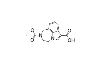 CC(C)(C)OC(=O)N1CCn2cc(C(=O)O)c3cccc(c32)C1